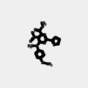 COC(=O)c1nc(-c2cccs2)nc(N(C)c2ccc(OC)cc2)c1[N+](=O)[O-]